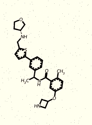 Cc1ccc(OC2CNC2)cc1C(=O)NC(C)c1cccc(-c2ccc(CN[C@@H]3CCOC3)s2)c1